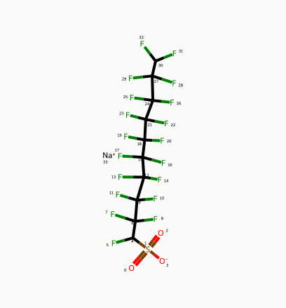 O=S(=O)([O-])C(F)C(F)(F)C(F)(F)C(F)(F)C(F)(F)C(F)(F)C(F)(F)C(F)(F)C(F)(F)C(F)F.[Na+]